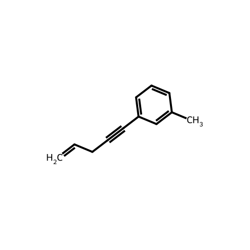 C=CCC#Cc1cccc(C)c1